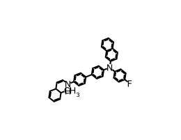 CC1C=CC=CC1/C=C\Nc1ccc(-c2ccc(N(c3ccc(F)cc3)c3ccc4ccccc4c3)cc2)cc1